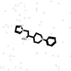 OC(Cn1cccn1)C1CCN(c2ccccc2)CC1